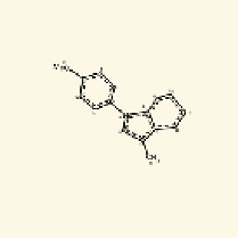 COc1ccc(-n2cc(C)c3ccccc32)cc1